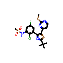 CSc1nccc(-c2sc(C(C)(C)C)nc2-c2cc(F)cc(NS(C)(=O)=O)c2Cl)n1